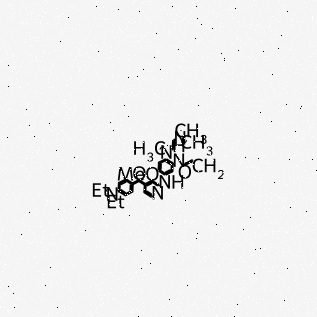 C=CC(=O)Nc1cc(Nc2cc(C(=O)c3ccc(N(CC)CC)cc3)ccn2)c(OC)cc1N(C)CCN(C)C